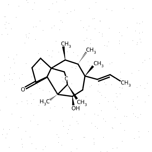 CC=C[C@]1(C)C[C@@H](O)[C@@]2(C)C3C(=O)CCC3(CC[C@H]2C)[C@@H](C)[C@@H]1C